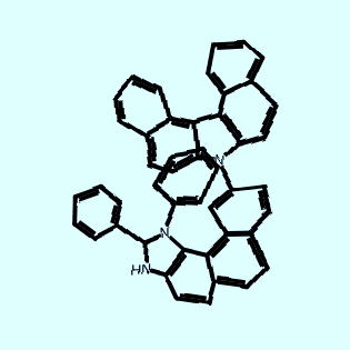 c1ccc(C2Nc3ccc4ccc5ccc(-n6c7ccc8ccccc8c7c7c8ccccc8ccc76)cc5c4c3N2c2ccccc2)cc1